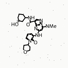 CNc1cc(Nc2cccn(C3CCOCC3)c2=O)nc2c(C(=O)NC3CCC[C@H](O)C3)cnn12